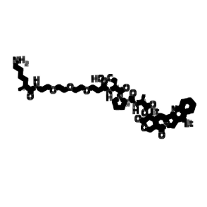 CCc1c2c(nc3ccccc13)-c1cc3c(c(=O)n1C2)COC(=O)[C@@]3(CC)OC(=O)[C@H](C)NC(=O)[C@@H]1CCCN1C(=O)[C@H](CC(=O)O)NC(=O)CCOCCOCCOCCNC(=O)[C@@H](C)CCCCN